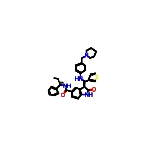 CC[C@@H](NC(=O)c1ccc2c(c1)C(=C(Nc1ccc(CN3CCCCC3)cc1)c1ccsc1)C(=O)N2)c1ccccc1